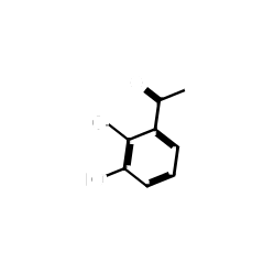 CC(=O)c1cccc(O)c1Cl